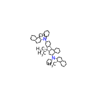 Cc1c(N(c2ccccc2)c2ccc3c(c2)C(C)(C)c2cc(N(c4ccccc4)c4ccc5ccccc5c4C)c4ccccc4c2-3)ccc2ccccc12